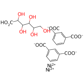 O=C(O)C(O)C(O)C(O)C(O)CO.O=C([O-])c1cccc(C(=O)[O-])c1.O=C([O-])c1cccc(C(=O)[O-])c1.[Ni+2].[Ni+2]